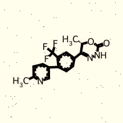 Cc1ccc(-c2ccc(C3=NNC(=O)O[C@H]3C)cc2C(F)(F)F)cn1